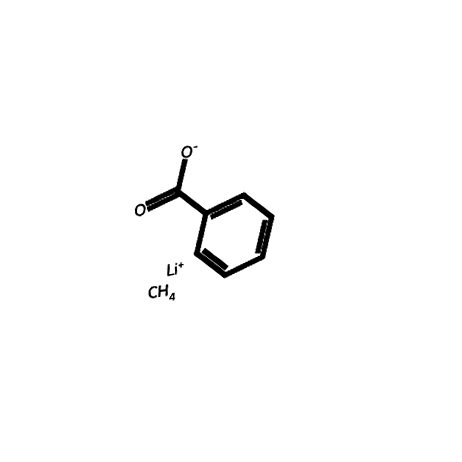 C.O=C([O-])c1ccccc1.[Li+]